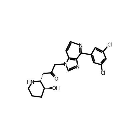 O=C(C[C@H]1NCCC[C@@H]1O)Cn1cnc2c(-c3cc(Cl)cc(Cl)c3)nccc21